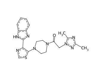 Cc1nc(C)n(CC(=O)N2CCN(c3scnc3-c3nc4ccccc4[nH]3)CC2)n1